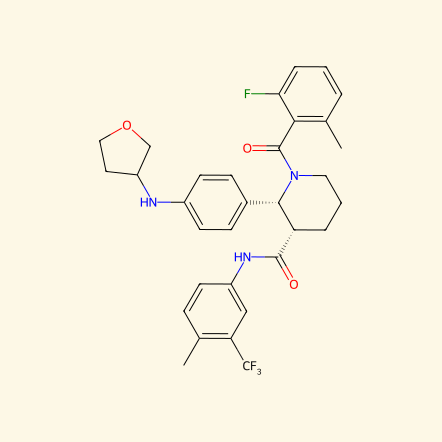 Cc1ccc(NC(=O)[C@H]2CCCN(C(=O)c3c(C)cccc3F)[C@H]2c2ccc(NC3CCOC3)cc2)cc1C(F)(F)F